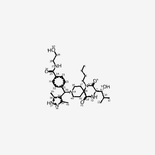 CCCCN1C(=O)[C@@H]([C@H](O)C(C)C)NC(=O)C12CCN(C(c1ccc(C(=O)NCCO)cc1)c1c(C)n[nH]c1C)CC2